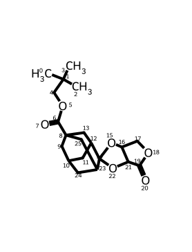 CC(C)(C)COC(=O)C12CC3CC(C1)C1(OC4COC(=O)C4O1)C(C3)C2